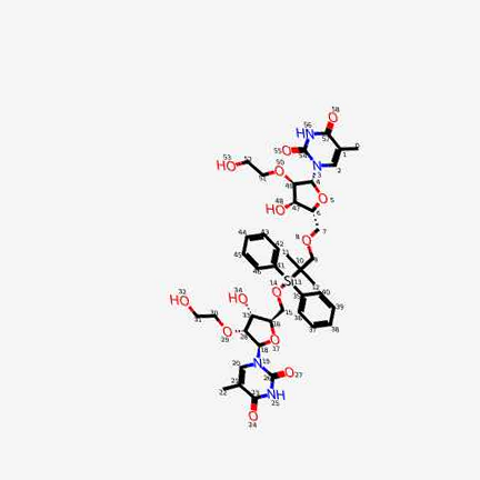 Cc1cn([C@@H]2O[C@H](COCC(C)(C)[Si](OC[C@H]3O[C@@H](n4cc(C)c(=O)[nH]c4=O)[C@H](OCCO)[C@@H]3O)(c3ccccc3)c3ccccc3)[C@@H](O)[C@H]2OCCO)c(=O)[nH]c1=O